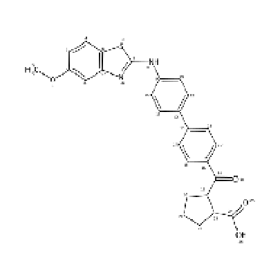 COc1ccc2sc(Nc3ccc(-c4ccc(C(=O)C5CCCC5C(=O)O)cc4)cc3)nc2c1